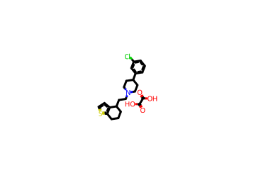 Clc1cccc(C2CCN(CCC3CCCc4sccc43)CC2)c1.O=C(O)C(=O)O